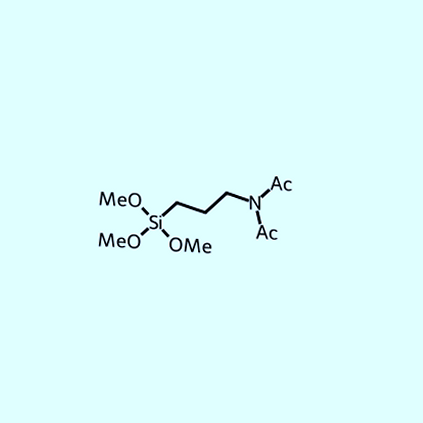 CO[Si](CCCN(C(C)=O)C(C)=O)(OC)OC